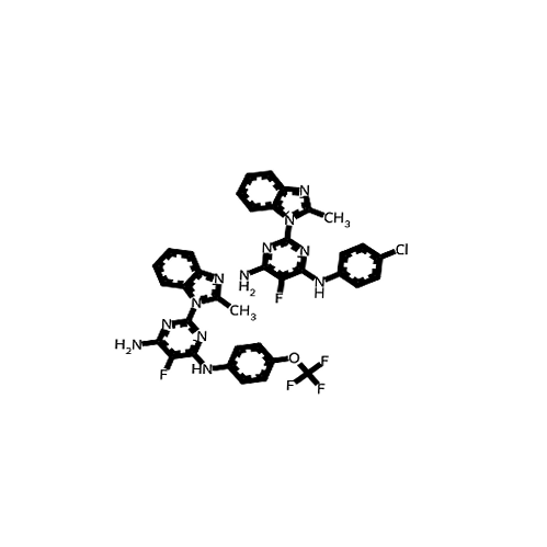 Cc1nc2ccccc2n1-c1nc(N)c(F)c(Nc2ccc(Cl)cc2)n1.Cc1nc2ccccc2n1-c1nc(N)c(F)c(Nc2ccc(OC(F)(F)F)cc2)n1